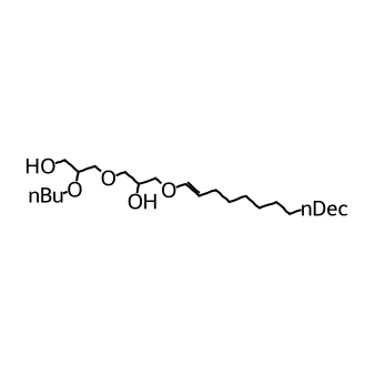 CCCCCCCCCCCCCCCCC=COCC(O)COCC(CO)OCCCC